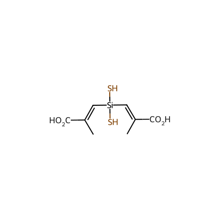 CC(=C[Si](S)(S)C=C(C)C(=O)O)C(=O)O